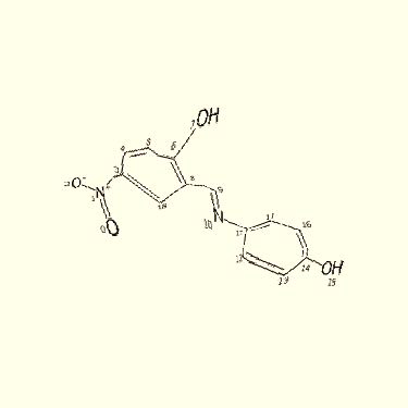 O=[N+]([O-])c1ccc(O)c(/C=N/c2ccc(O)cc2)c1